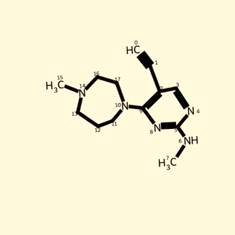 C#Cc1cnc(NC)nc1N1CCCN(C)CC1